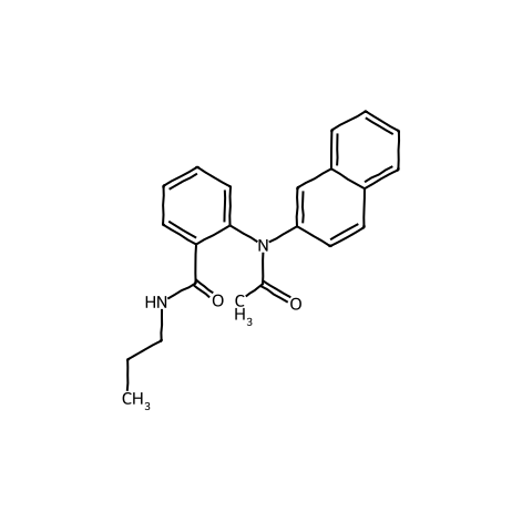 CCCNC(=O)c1ccccc1N(C(C)=O)c1ccc2ccccc2c1